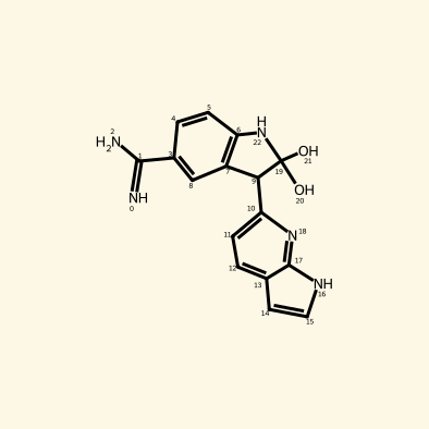 N=C(N)c1ccc2c(c1)C(c1ccc3cc[nH]c3n1)C(O)(O)N2